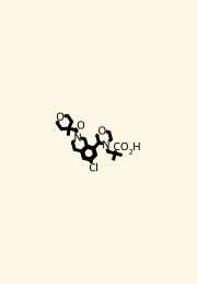 CC(C)(CN1CCOCC1c1cc(Cl)cc2c1CN(C(=O)C1(C)CCOCC1)CC2)C(=O)O